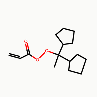 C=CC(=O)OOC(C)(C1CCCC1)C1CCCC1